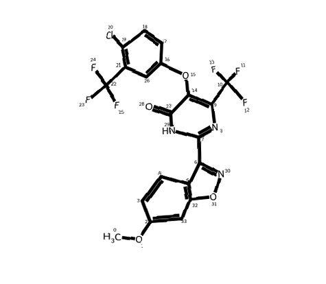 COc1ccc2c(-c3nc(C(F)(F)F)c(Oc4ccc(Cl)c(C(F)(F)F)c4)c(=O)[nH]3)noc2c1